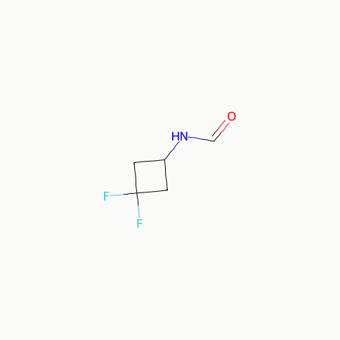 O=CNC1CC(F)(F)C1